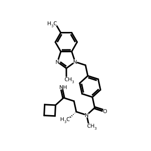 Cc1ccc2c(c1)nc(C)n2Cc1ccc(C(=O)N(C)[C@H](C)CC(=N)C2CCC2)cc1